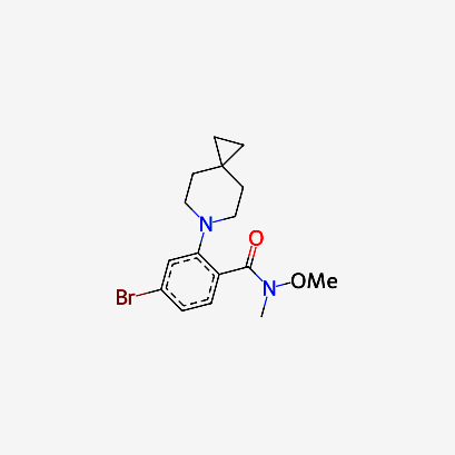 CON(C)C(=O)c1ccc(Br)cc1N1CCC2(CC1)CC2